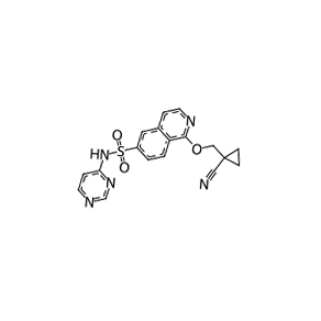 N#CC1(COc2nccc3cc(S(=O)(=O)Nc4ccncn4)ccc23)CC1